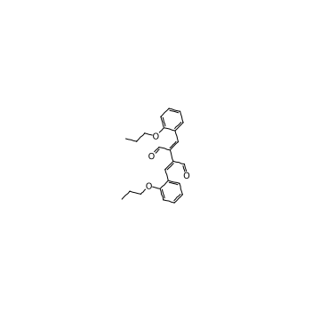 CCCOc1ccccc1C=C(C=O)C(C=O)=Cc1ccccc1OCCC